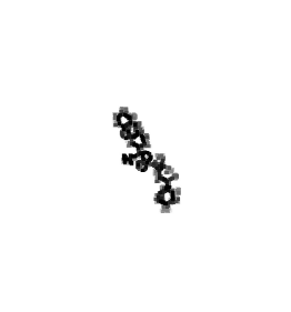 C/C(=C\C1C(C(=O)OC(C#N)c2ccc(F)c(Oc3ccccc3)c2)C1(C)C)c1ccccc1